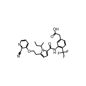 CCC(C)n1c(CCOc2cccnc2C#N)ccc1C(=O)Nc1cc(CC(=O)O)ccc1C(F)(F)F